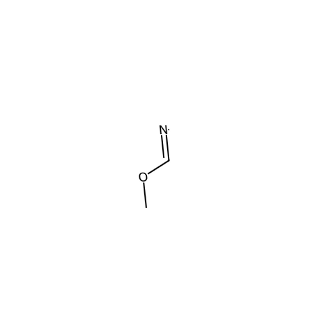 COC=[N]